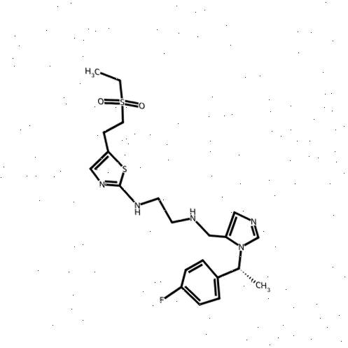 CCS(=O)(=O)CCc1cnc(NCCNCc2cncn2[C@H](C)c2ccc(F)cc2)s1